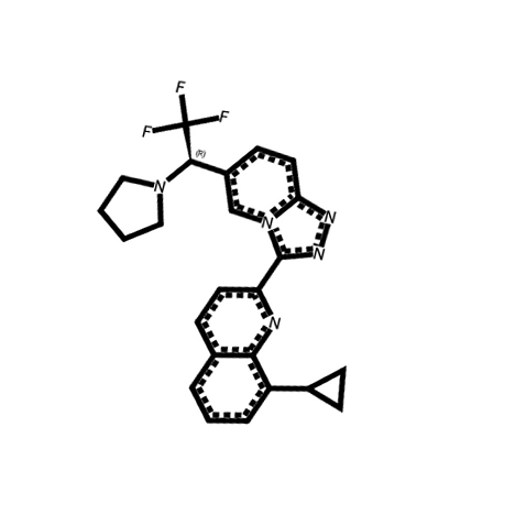 FC(F)(F)[C@@H](c1ccc2nnc(-c3ccc4cccc(C5CC5)c4n3)n2c1)N1CCCC1